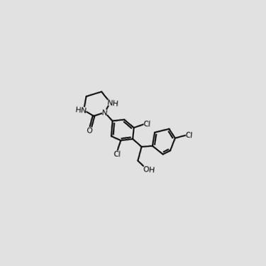 O=C1NCCNN1c1cc(Cl)c(C(CO)c2ccc(Cl)cc2)c(Cl)c1